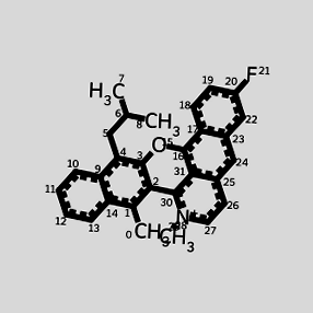 Cc1c2c(c(CC(C)C)c3ccccc13)Oc1c3ccc(F)cc3cc3cc[n+](C)c-2c13